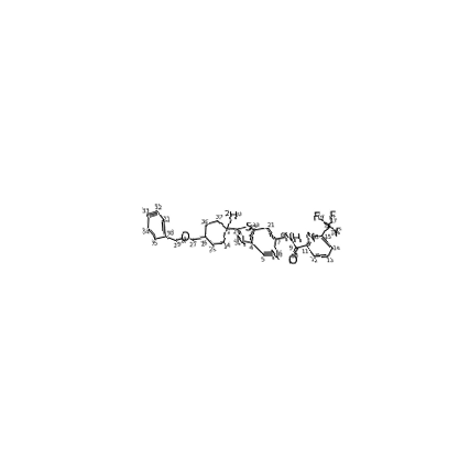 [2H]C1(c2nc3cnc(NC(=O)c4cccc(C(F)(F)F)n4)cc3s2)CCC(COCc2ccccc2)CC1